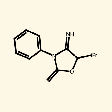 C=C1OC(C(C)C)C(=N)N1c1ccccc1